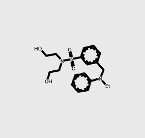 CCN(Cc1cccc(S(=O)(=O)N(CCO)CCO)c1)c1ccccc1